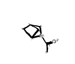 CC(=O)N1CC2CC1C2